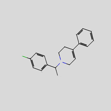 [CH2]CCC(c1ccc(Cl)cc1)N1CC=C(c2ccccc2)CC1